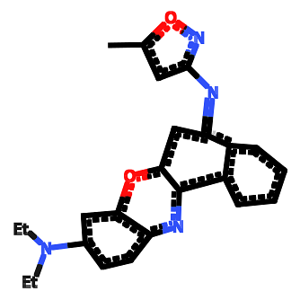 CCN(CC)c1ccc2nc3c4ccccc4c(=Nc4cc(C)on4)cc-3oc2c1